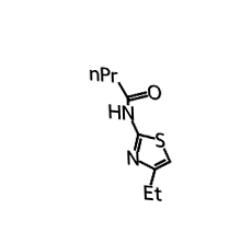 CCCC(=O)Nc1nc(CC)cs1